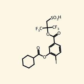 O=C(OC(CS(=O)(=O)O)(C(F)(F)F)C(F)(F)F)c1ccc(I)c(OC(=O)C2CCCCC2)c1